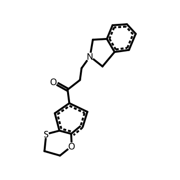 O=C(CCN1Cc2ccccc2C1)c1ccc2c(c1)SCCO2